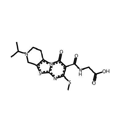 CSc1nc2sc3c(n2c(=O)c1C(=O)NCC(=O)O)CCN(C(C)C)C3